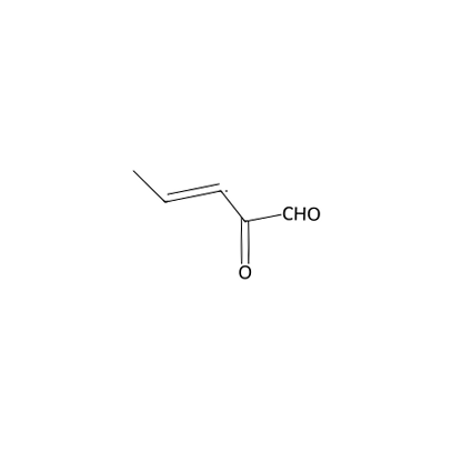 CC=[C]C(=O)C=O